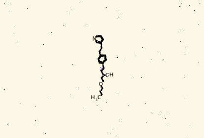 CCCCOCCC(O)/C=C/c1ccc(CCc2cccnc2)cc1